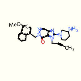 CC#CCn1c(N2CCCC(N)C2)nc2cnn(Cc3ccc(OC)c4ccccc34)c(=O)c21